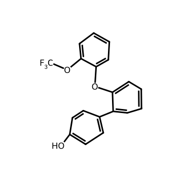 Oc1ccc(-c2ccccc2Oc2ccccc2OC(F)(F)F)cc1